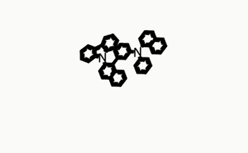 c1ccc(N(c2cccc(-c3c(-n4c5ccccc5c5ccccc54)ccc4ccccc34)c2)c2cccc3ccccc23)cc1